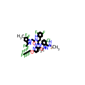 CSNc1nn(C)c2c(-n3c(C(Cc4cc(F)cc(F)c4)NC(=O)Cn4nc(C(F)F)c5c4C(F)(F)C(C)C5)nc4nc(OCC(F)(F)C(F)(F)C(F)(F)F)ccc4c3=O)ccc(Cl)c12